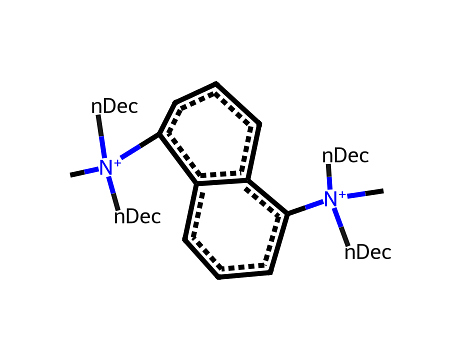 CCCCCCCCCC[N+](C)(CCCCCCCCCC)c1cccc2c([N+](C)(CCCCCCCCCC)CCCCCCCCCC)cccc12